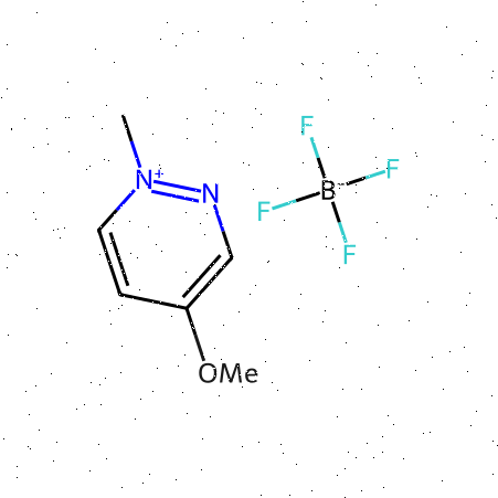 COc1cc[n+](C)nc1.F[B-](F)(F)F